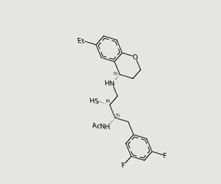 CCc1ccc2c(c1)[C@@H](NC[C@@H](S)[C@H](Cc1cc(F)cc(F)c1)NC(C)=O)CCO2